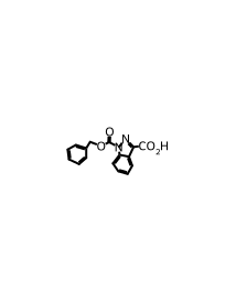 O=C(O)c1nn(C(=O)OCc2ccccc2)c2ccccc12